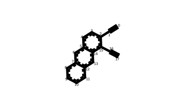 C#Cc1ccc2cc3ccccc3cc2c1C#C